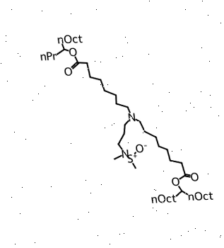 CCCCCCCCC(CCC)OC(=O)CCCCCCCN(CCCCCCCC(=O)OC(CCCCCCCC)CCCCCCCC)CCCN(C)[S+](C)[O-]